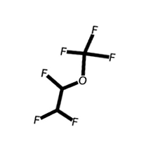 FC(F)C(F)OC(F)(F)F